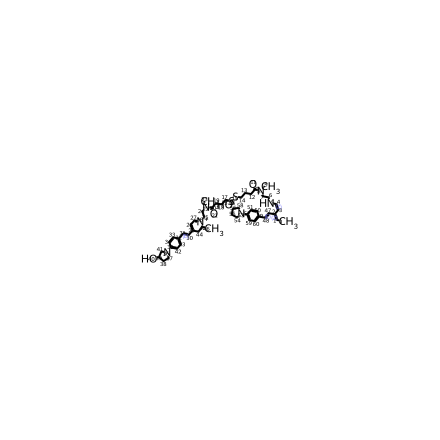 C/C=C(\C=C/NCCN(C)C(=O)CCCSSCCCC(=O)N(C)CC[N+]1=CC=C(/C=C/c2ccc(N3CCC(O)C3)cc2)CC1C)/C=C/c1ccc(N2CCC(O)C2)cc1